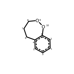 c1ccc2c(c1)CCCOO2